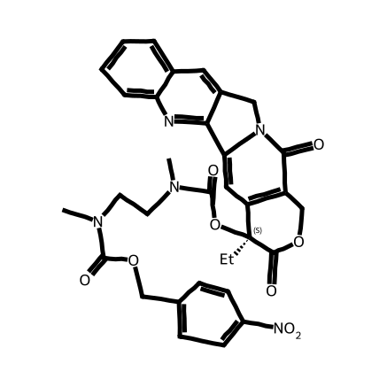 CC[C@@]1(OC(=O)N(C)CCN(C)C(=O)OCc2ccc([N+](=O)[O-])cc2)C(=O)OCc2c1cc1n(c2=O)Cc2cc3ccccc3nc2-1